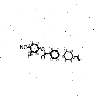 C=C[C@H]1CC[C@H](c2ccc(C(=O)Oc3ccc(C#N)c(F)c3)cc2)CC1